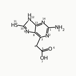 Nc1nc(CC(=O)O)c2nc(S)[nH]c2n1